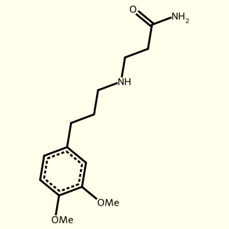 COc1ccc(CCCNCCC(N)=O)cc1OC